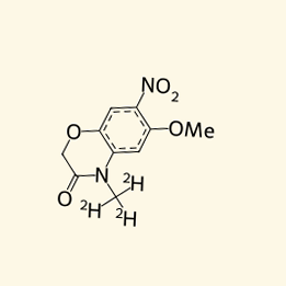 [2H]C([2H])([2H])N1C(=O)COc2cc([N+](=O)[O-])c(OC)cc21